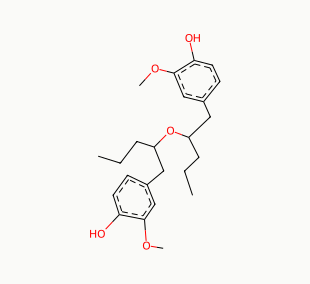 CCCC(Cc1ccc(O)c(OC)c1)OC(CCC)Cc1ccc(O)c(OC)c1